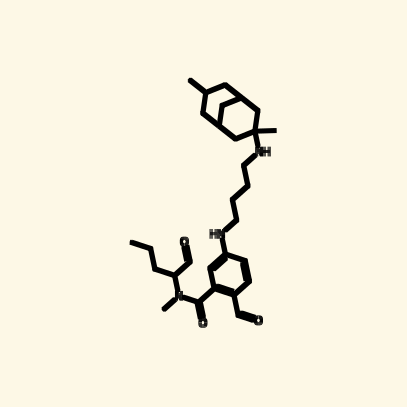 CCCC(C=O)N(C)C(=O)c1cc(NCCCCNC2(C)CC3CC(C)CC(C3)C2)ccc1C=O